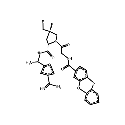 CC(NC(=O)[C@@H]1C[C@](F)(CF)CN1C(=O)CNC(=O)c1ccc2c(c1)Oc1ccccc1S2)c1cc(C(=N)N)cs1